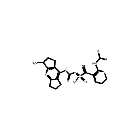 CC1CCc2c1nc1c(c2NC(=O)N=S(N)(=O)C(=N)C2=C(NC(F)F)OCCC2)CCC1